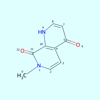 Cn1ccc2c(=O)cc[nH]c2c1=O